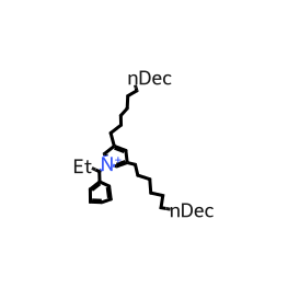 CCCCCCCCCCCCCCCCc1cc(CCCCCCCCCCCCCCCC)c[n+](C(CC)c2ccccc2)c1